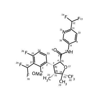 COc1c([C@@H]2[C@@H](C(=O)Nc3ccc(C(F)F)nc3)O[C@](C)(C(F)(F)F)[C@@H]2C)ccc(F)c1C(F)F